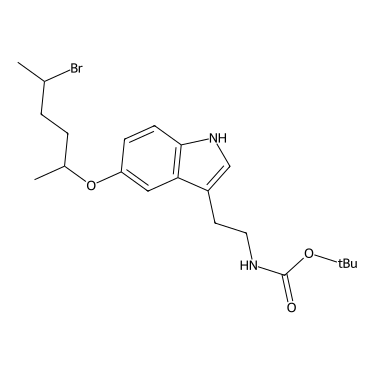 CC(Br)CCC(C)Oc1ccc2[nH]cc(CCNC(=O)OC(C)(C)C)c2c1